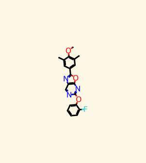 COc1c(C)cc(-c2nc3cnc(Oc4ccccc4F)nc3o2)cc1C